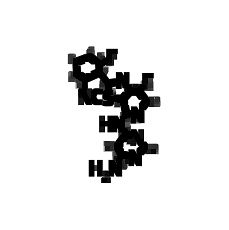 [C-]#[N+]c1cccc(F)c1-c1nc2c(F)cnc(Nc3cc(N)ncn3)c2s1